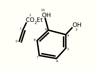 C=CC(=O)OCC.Oc1ccccc1O